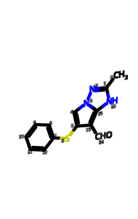 Cc1nn2cc(Sc3ccccc3)c(C=O)c2[nH]1